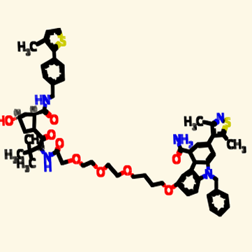 Cc1ccsc1-c1ccc(CNC(=O)[C@@H]2C[C@@H](O)CC2C(=O)[C@@H](NC(=O)COCCOCCOCCCCOc2ccc3c(c2)C2C(=CC(c4c(C)nsc4C)=CC2C(N)=O)N3Cc2ccccc2)C(C)(C)C)cc1